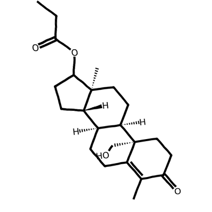 CCC(=O)OC1CC[C@H]2[C@@H]3CCC4=C(C)C(=O)CC[C@]4(CO)[C@@H]3CC[C@]12C